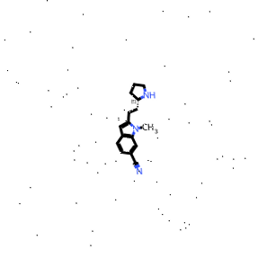 Cn1c(CC[C@@H]2CCCN2)cc2ccc(C#N)cc21